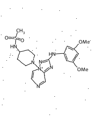 COc1cc(NC2=N[N+]3(N4CCC(NS(C)(=O)=O)CC4)C=CN=CC3=N2)cc(OC)c1